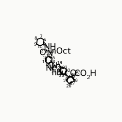 CCCCCCCCN(C(=O)NC1CCCCC1)c1ccc2nc(CCCC)n(Cc3ccc(-c4ccccc4OC(=O)O)cc3)c2c1